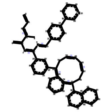 C=C/C=C(\C)C(=C)/N=C(\N=C\c1ccc(-c2cccnc2)cc1)c1cccc(/C2=c3\cccc\c3=C(/c3cccc4ccccc34)C/C=C\C=C/C2)c1